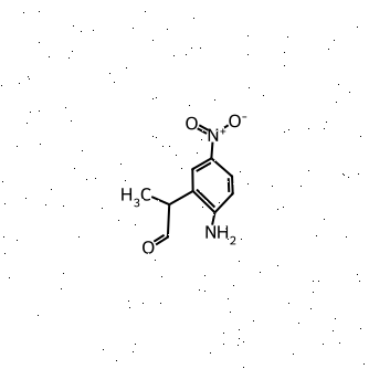 CC(C=O)c1cc([N+](=O)[O-])ccc1N